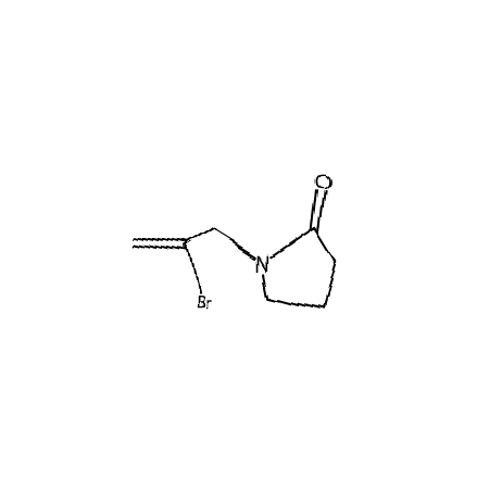 C=C(Br)CN1CCCC1=O